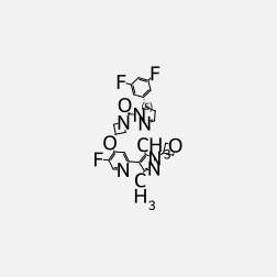 Cc1nn(C2COC2)c(C)c1-c1cc(OC2CN(C(=O)N3N=CC[C@H]3c3cc(F)cc(F)c3)C2)c(F)cn1